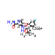 COc1cc(F)ccc1[C@H]1CC(C)(C)O[C@@H]1C(=O)Nc1ccnc(C(N)=O)c1